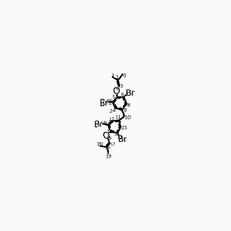 CC(C)=COc1c(Br)cc(Cc2cc(Br)c(OC=C(C)C)c(Br)c2)cc1Br